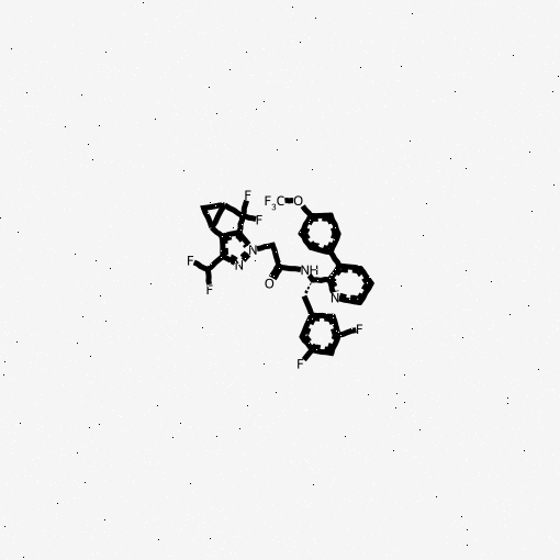 O=C(Cn1nc(C(F)F)c2c1C(F)(F)C1CC21)N[C@@H](Cc1cc(F)cc(F)c1)c1ncccc1-c1ccc(OC(F)(F)F)cc1